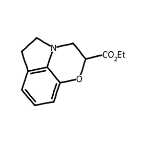 CCOC(=O)C1CN2CCc3cccc(c32)O1